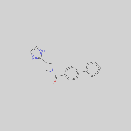 O=C(c1ccc(-c2ccccc2)cc1)N1CC(c2ncc[nH]2)C1